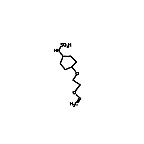 C=COCCOC1CCC(NS(=O)(=O)O)CC1